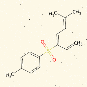 C=C/C(=C\C=C(C)C)S(=O)(=O)c1ccc(C)cc1